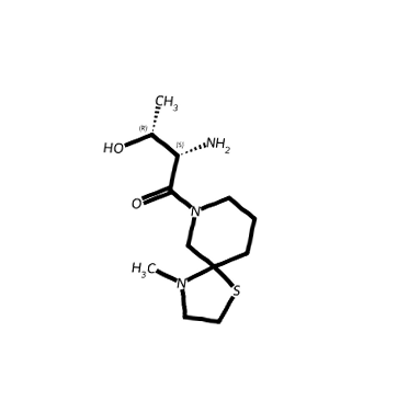 C[C@@H](O)[C@H](N)C(=O)N1CCCC2(C1)SCCN2C